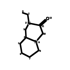 CCN1CC2CCCCN2CC1=O